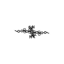 [C-]#[N+]C(C#N)=C1Sc2c(OC(=O)C3CCC(OC(=O)C4CCC(C5CCC(CCC)CC5)CC4)CC3)c3c(c(OC(=O)C4CCC(OC(=O)C5CCC(C6CCC(CCC)CC6)CC5)CC4)c2S1)SC(=C(C#N)[N+]#[C-])S3